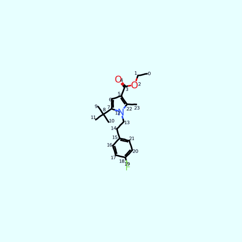 CCOC(=O)c1cc(C(C)(C)C)n(CCc2ccc(F)cc2)c1C